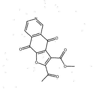 COC(=O)c1c(C(C)=O)oc2c1C(=O)c1cnccc1C2=O